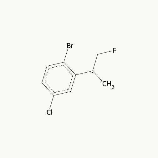 C[C](CF)c1cc(Cl)ccc1Br